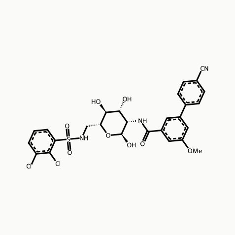 COc1cc(C(=O)N[C@H]2[C@@H](O)[C@H](O)[C@@H](CNS(=O)(=O)c3cccc(Cl)c3Cl)O[C@@H]2O)cc(-c2ccc(C#N)cc2)c1